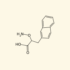 NOC(Cc1ccc2ccccc2c1)C(=O)O